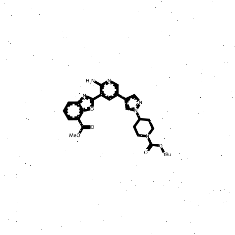 COC(=O)c1cccc2nc(-c3cc(-c4cnn(C5CCN(C(=O)OC(C)(C)C)CC5)c4)cnc3N)oc12